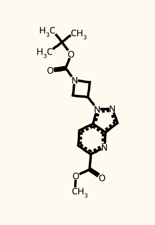 COC(=O)c1ccc2c(cnn2C2CN(C(=O)OC(C)(C)C)C2)n1